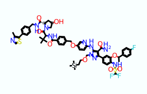 Cc1ncsc1-c1ccc(CNC(=O)[C@@H]2C[C@@H](O)CN2C(=O)C(NC(=O)c2ccc(COc3ccc(Nc4c(C(N)=O)c(-c5ccc(NS(=O)(=O)C(F)F)c(OC(C)c6ccc(F)cc6)c5)nn4COCC[Si](C)(C)C)nc3)cc2)C(C)(C)C)cc1